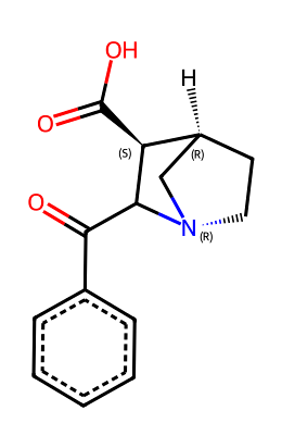 O=C(c1ccccc1)C1[C@@H](C(=O)O)[C@H]2CC[N@@]1C2